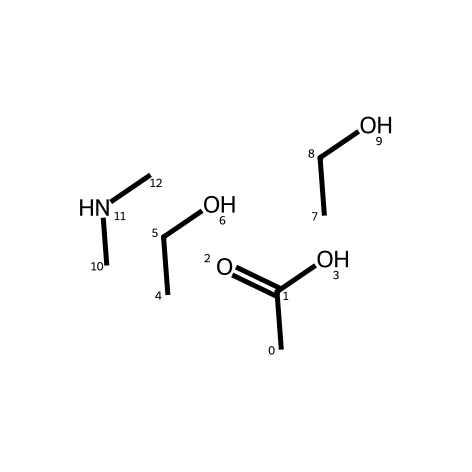 CC(=O)O.CCO.CCO.CNC